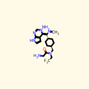 C=N/C(=C1/c2cc[nH]c2N=CN1N)[C@H]1CC[C@H](CN(CC(F)(F)F)C(=O)CN)CC1